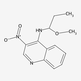 CCC(Nc1c([N+](=O)[O-])cnc2ccccc12)OC